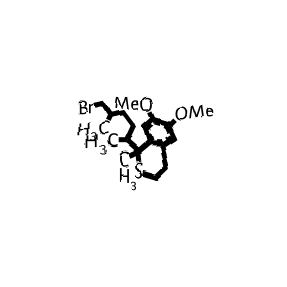 COc1cc2c(cc1OC)C(C)(C(C)CCC(C)CBr)SCC2